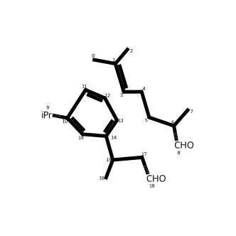 CC(C)=CCCC(C)C=O.CC(C)c1cccc(C(C)CC=O)c1